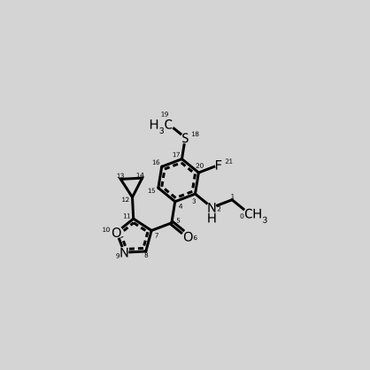 CCNc1c(C(=O)c2cnoc2C2CC2)ccc(SC)c1F